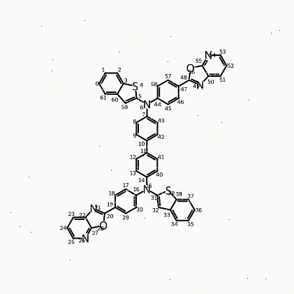 c1ccc2sc(N(c3ccc(-c4ccc(N(c5ccc(-c6nc7cccnc7o6)cc5)c5cc6ccccc6s5)cc4)cc3)c3ccc(-c4nc5cccnc5o4)cc3)cc2c1